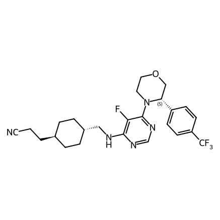 N#CCC[C@H]1CC[C@H](CNc2ncnc(N3CCOC[C@@H]3c3ccc(C(F)(F)F)cc3)c2F)CC1